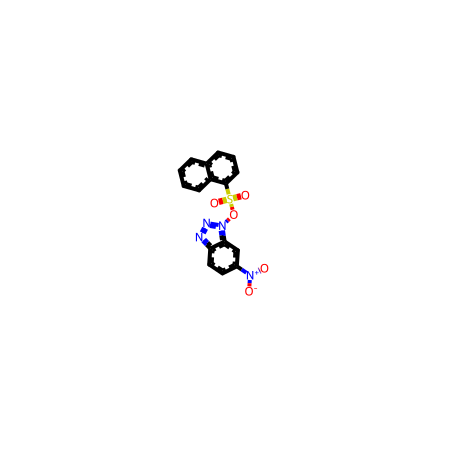 O=[N+]([O-])c1ccc2nnn(OS(=O)(=O)c3cccc4ccccc34)c2c1